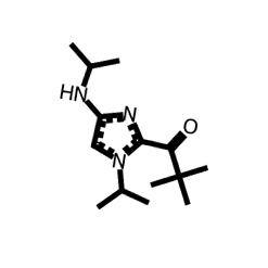 CC(C)Nc1cn(C(C)C)c(C(=O)C(C)(C)C)n1